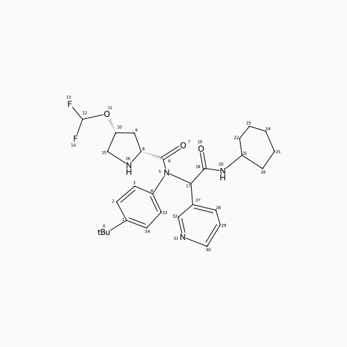 CC(C)(C)c1ccc(N(C(=O)[C@H]2C[C@@H](OC(F)F)CN2)C(C(=O)NC2CCCCC2)c2cccnc2)cc1